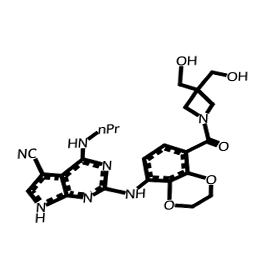 CCCNc1nc(Nc2ccc(C(=O)N3CC(CO)(CO)C3)c3c2OCCO3)nc2[nH]cc(C#N)c12